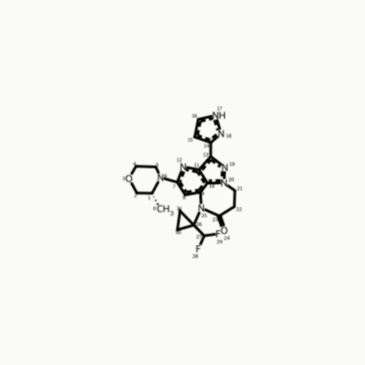 C[C@@H]1COCCN1c1cc2c3c(n1)c(-c1cc[nH]n1)nn3CCC(=O)N2C1(C(F)F)CC1